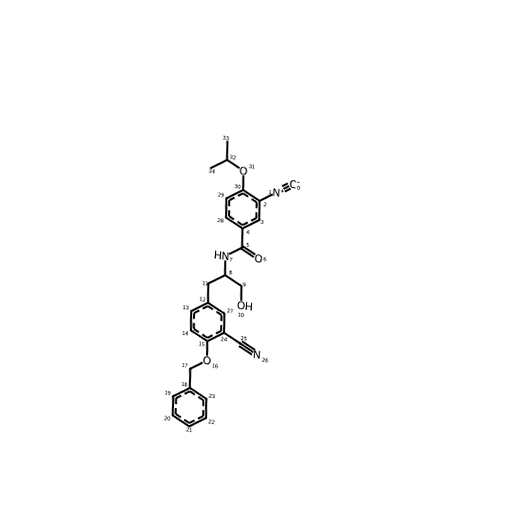 [C-]#[N+]c1cc(C(=O)NC(CO)Cc2ccc(OCc3ccccc3)c(C#N)c2)ccc1OC(C)C